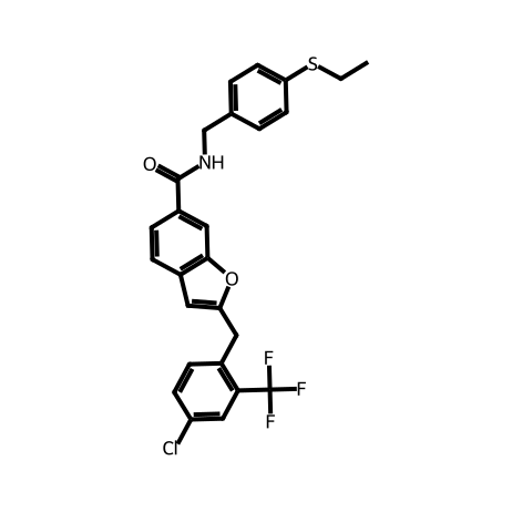 CCSc1ccc(CNC(=O)c2ccc3cc(Cc4ccc(Cl)cc4C(F)(F)F)oc3c2)cc1